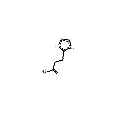 CC(=O)OCc1nccs1